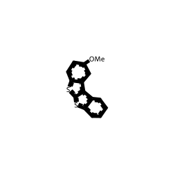 COc1ccc2sc3sc4ccccc4c3c2c1